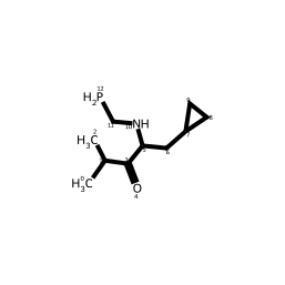 CC(C)C(=O)C(CC1CC1)NCP